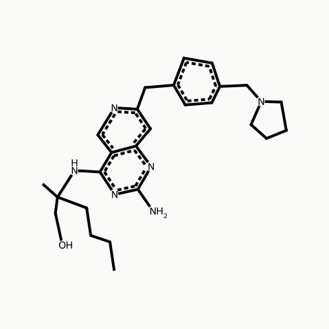 CCCCC(C)(CO)Nc1nc(N)nc2cc(Cc3ccc(CN4CCCC4)cc3)ncc12